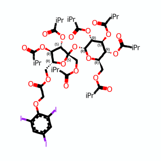 CC(C)C(=O)OC[C@H]1O[C@H](O[C@]2(COC(=O)C(C)C)O[C@H](COC(=O)COc3c(I)cc(I)cc3I)[C@@H](OC(=O)C(C)C)[C@@H]2OC(=O)C(C)C)[C@H](OC(=O)C(C)C)[C@@H](OC(=O)C(C)C)[C@@H]1OC(=O)C(C)C